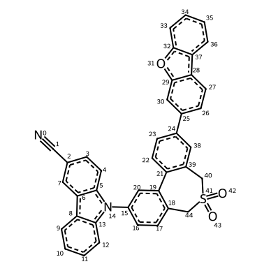 N#Cc1ccc2c(c1)c1ccccc1n2-c1ccc2c(c1)-c1ccc(-c3ccc4c(c3)oc3ccccc34)cc1CS(=O)(=O)C2